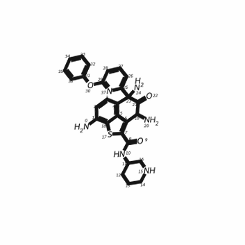 Nc1ccc2c3c(c(C(=O)NC4CCCNC4)sc13)C(N)C(=O)C2(N)c1cccc(Oc2ccccc2)n1